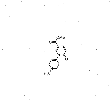 COC(=O)c1ccc(=O)n(C2=CCN(C)CC2)n1